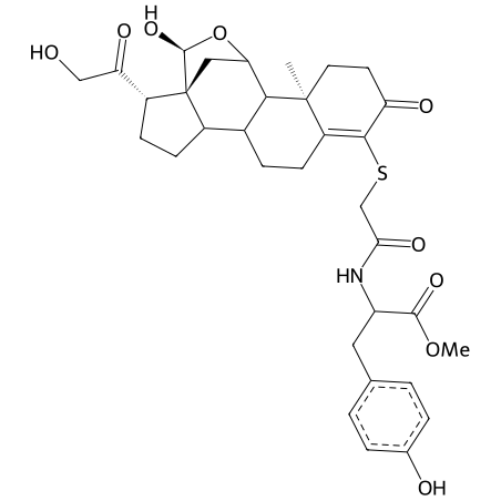 COC(=O)C(Cc1ccc(O)cc1)NC(=O)CSC1=C2CCC3C4CC[C@H](C(=O)CO)[C@@]45CC(O[C@@H]5O)C3[C@@]2(C)CCC1=O